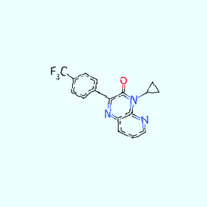 O=c1c(-c2ccc(C(F)(F)F)cc2)nc2cccnc2n1C1CC1